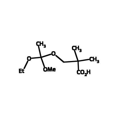 CCOC(C)(OC)OCC(C)(C)C(=O)O